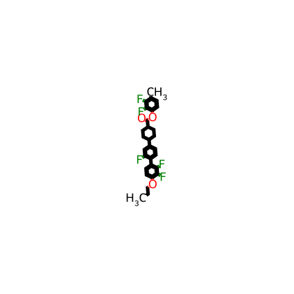 CCCOc1ccc(-c2ccc(C3CCC(C(=O)Oc4ccc(C)c(F)c4F)CC3)cc2F)c(F)c1F